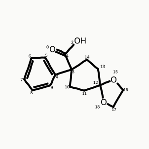 O=C(O)C1(c2ccccc2)CCC2(CC1)OCCO2